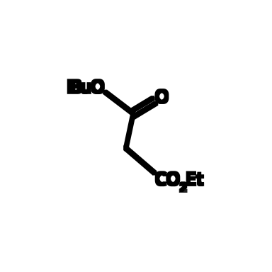 CCOC(=O)CC(=O)OCC(C)C